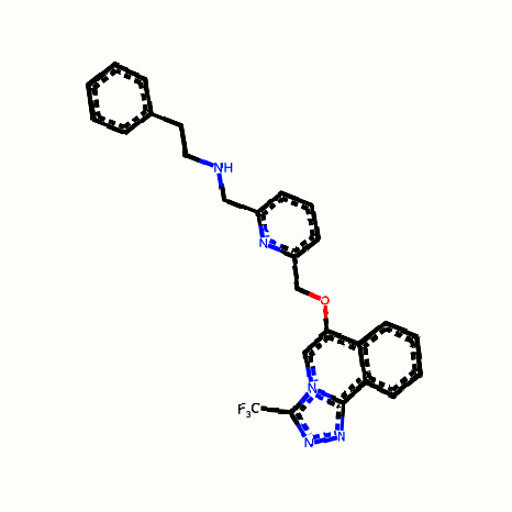 FC(F)(F)c1nnc2c3ccccc3c(OCc3cccc(CNCCc4ccccc4)n3)cn12